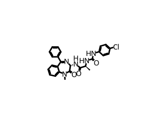 C[C@H](NC(=O)Nc1ccc(Cl)cc1)C(=O)N[C@H]1N=C(c2ccccc2)c2ccccc2N(C)C1=O